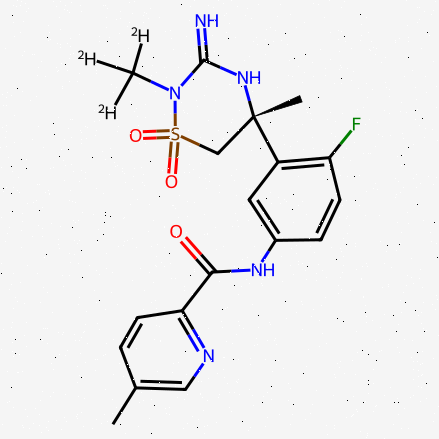 [2H]C([2H])([2H])N1C(=N)N[C@](C)(c2cc(NC(=O)c3ccc(C)cn3)ccc2F)CS1(=O)=O